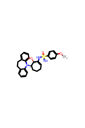 N=S(=O)(NC1=CCCC[C@@H](N2c3ccccc3CCc3ccccc32)[C@H]1O)c1ccc(OC(F)(F)F)cc1